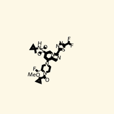 COC1(C(=O)N2CCN(c3cc(S(=O)(=O)NC4(C)CC4)cn4c(-c5nnc(C(F)F)s5)ncc34)C[C@H]2CF)CC1